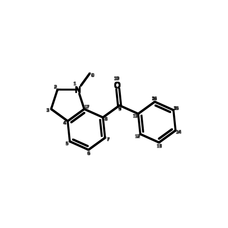 CN1CCc2cccc(C(=O)c3ccccc3)c21